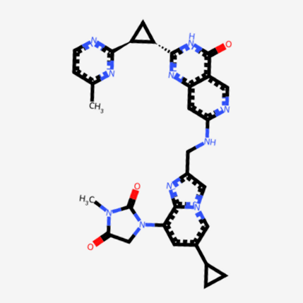 Cc1ccnc([C@H]2C[C@@H]2c2nc3cc(NCc4cn5cc(C6CC6)cc(N6CC(=O)N(C)C6=O)c5n4)ncc3c(=O)[nH]2)n1